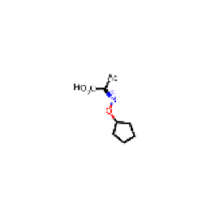 CC(=O)/C(=N/OC1CCCC1)C(=O)O